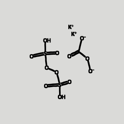 O=C([O-])O[O-].O=S(=O)(O)OOS(=O)(=O)O.[K+].[K+]